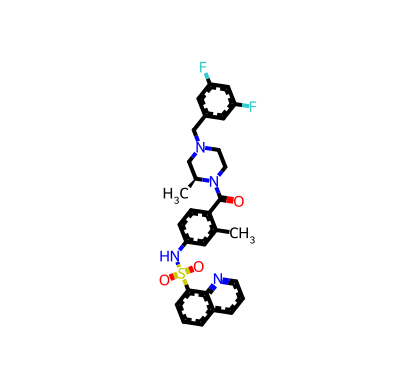 Cc1cc(NS(=O)(=O)c2cccc3cccnc23)ccc1C(=O)N1CCN(Cc2cc(F)cc(F)c2)C[C@@H]1C